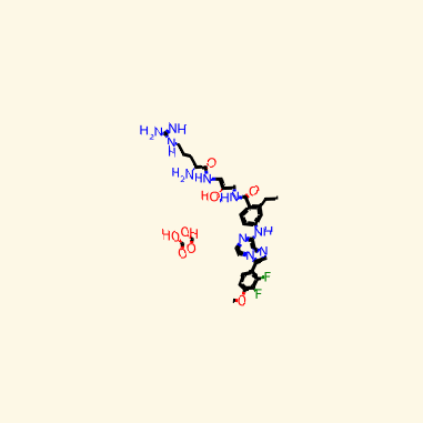 CCc1cc(Nc2nccn3c(-c4ccc(OC)c(F)c4F)cnc23)ccc1C(=O)NC[C@@H](O)CNC(=O)[C@H](N)CCCNC(=N)N.O=CO.O=CO